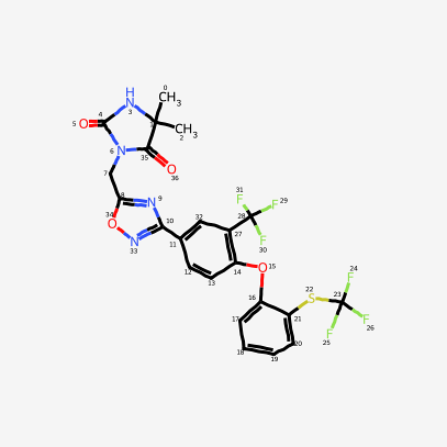 CC1(C)NC(=O)N(Cc2nc(-c3ccc(Oc4ccccc4SC(F)(F)F)c(C(F)(F)F)c3)no2)C1=O